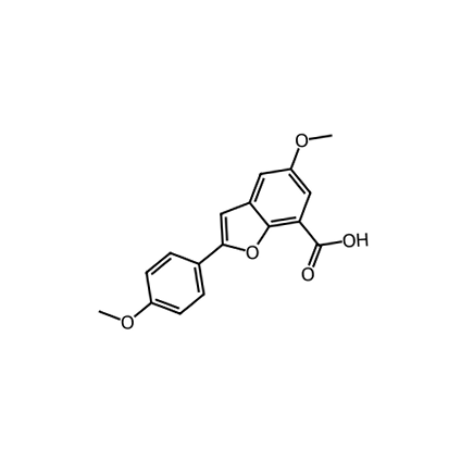 COc1ccc(-c2cc3cc(OC)cc(C(=O)O)c3o2)cc1